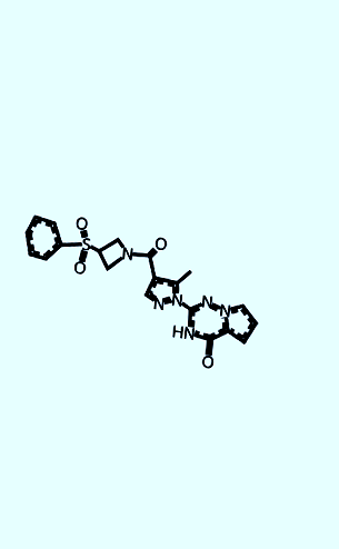 Cc1c(C(=O)N2CC(S(=O)(=O)c3ccccc3)C2)cnn1-c1nn2cccc2c(=O)[nH]1